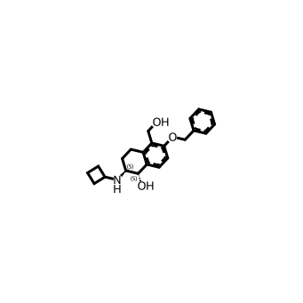 OCc1c(OCc2ccccc2)ccc2c1CC[C@H](NC1CCC1)[C@H]2O